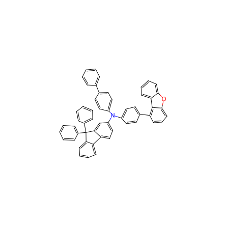 c1ccc(-c2ccc(N(c3ccc(-c4cccc5oc6ccccc6c45)cc3)c3ccc4c(c3)C(c3ccccc3)(c3ccccc3)c3ccccc3-4)cc2)cc1